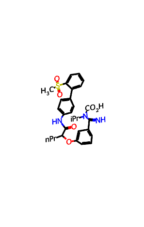 CCCC(Oc1cccc(C(=N)N(C(=O)O)C(C)C)c1)C(=O)Nc1ccc(-c2ccccc2S(C)(=O)=O)cc1